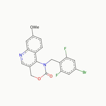 COc1ccc2c3c(cnc2c1)COC(=O)N3Cc1c(F)cc(Br)cc1F